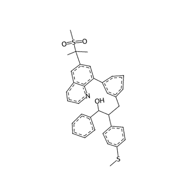 CSc1ccc(C(Cc2cccc(-c3cc(C(C)(C)S(C)(=O)=O)cc4cccnc34)c2)C(O)c2ccccc2)cc1